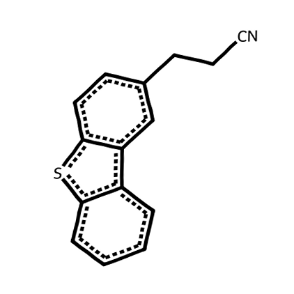 N#CCCc1ccc2sc3ccccc3c2c1